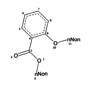 CCCCCCCCCOC(=O)c1ccccc1OCCCCCCCCC